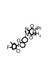 Cc1cc(N2CCCC3(CCC(n4cnc(C(=O)NC(C)C)c4C(N)=O)CC3)C2=O)c(Cl)cc1F